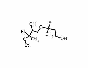 CCOC(C)(CC)C(O)COC(C)(CC)CCO